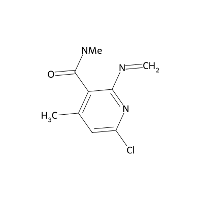 C=Nc1nc(Cl)cc(C)c1C(=O)NC